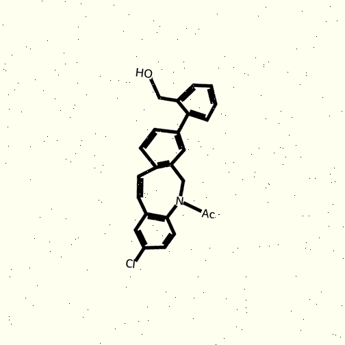 CC(=O)N1Cc2cc(-c3ccccc3CO)ccc2/C=C\c2cc(Cl)ccc21